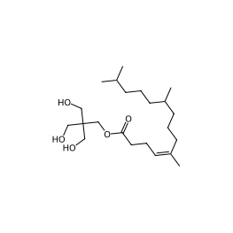 CC(=CCCC(=O)OCC(CO)(CO)CO)CCCC(C)CCCC(C)C